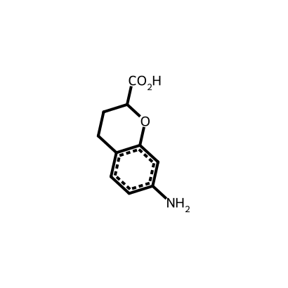 Nc1ccc2c(c1)OC(C(=O)O)CC2